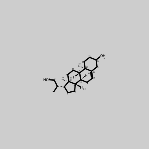 CC(CO)[C@H]1CC[C@H]2[C@@H]3CC=C4CC(O)CC[C@]4(C)[C@H]3CC[C@]12C